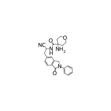 N#CC(Cc1ccc2c(c1)CN(c1ccccc1)C2=O)NC(=O)C1(N)CCOCC1